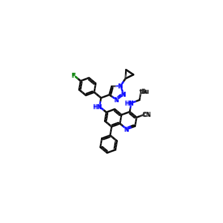 CC(C)(C)CNc1c(C#N)cnc2c(-c3ccccc3)cc(NC(c3ccc(F)cc3)c3cn(C4CC4)nn3)cc12